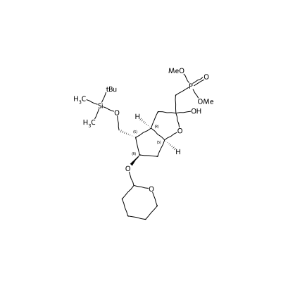 COP(=O)(CC1(O)C[C@@H]2[C@@H](CO[Si](C)(C)C(C)(C)C)[C@H](OC3CCCCO3)C[C@@H]2O1)OC